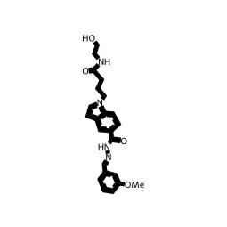 COc1cccc(C=NNC(=O)c2ccc3c(ccn3CCCC(=O)NCCO)c2)c1